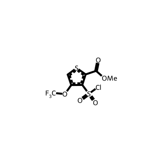 COC(=O)c1scc(OC(F)(F)F)c1S(=O)(=O)Cl